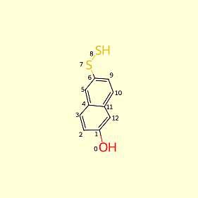 Oc1ccc2cc(SS)ccc2c1